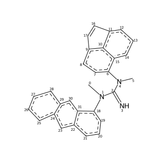 CN(C(=N)N(C)c1ccc2c3c(cccc13)C=C2)c1cccc2cc3ccccc3cc12